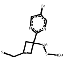 CC(C)(C)SNC1(c2ncc(Br)cn2)CC(CF)C1